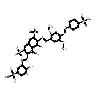 COc1cc(N=Nc2c(S(=O)(=O)O)cc3cc(S(=O)(=O)O)c(N=Nc4cc(S(=O)(=O)O)ccc4Cl)c(O)c3c2O)c(OC)cc1N=Nc1ccc(S(=O)(=O)O)cc1